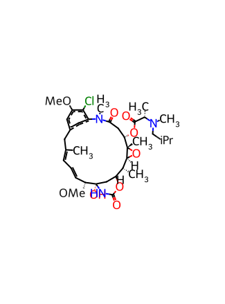 COc1cc2cc(c1Cl)N(C)C(=O)C[C@H](OC(=O)[C@H](C)N(C)CC(C)C)[C@]1(C)O[C@H]1[C@H](C)[C@@H]1C[C@@](O)(NC(=O)O1)[C@H](OC)/C=C/C=C(\C)C2